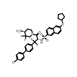 N[C@H]1CCN(C(=O)[C@H](NS(=O)(=O)c2ccc3cc(OC4CCCC4)ccc3c2)C(F)(F)c2ccc(-c3ccc(Cl)cc3)cc2)CC1(F)F